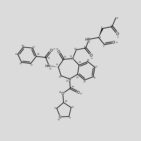 CC(=O)C[C@@H](C=O)NC(=O)CN1C(=O)[C@@H](NC(=O)c2ccccc2)CN(C(=O)OC2CCOC2)c2ccccc21